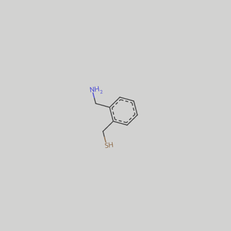 NCc1ccccc1CS